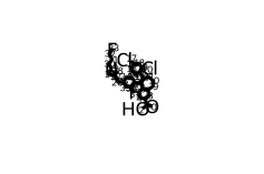 O=C(O)c1ccc2c(c1)CCCC(c1ccc(Cl)cc1Cl)=C2c1ccc(C=C2CN(CCCF)C2)cc1F